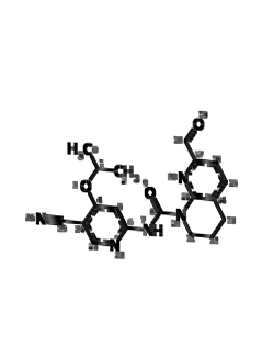 CC(C)Oc1cc(NC(=O)N2CCCc3ccc(C=O)nc32)ncc1C#N